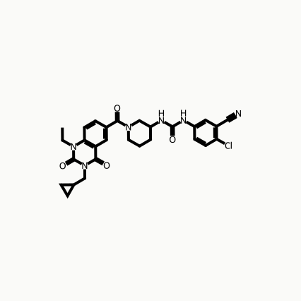 CCn1c(=O)n(CC2CC2)c(=O)c2cc(C(=O)N3CCCC(NC(=O)Nc4ccc(Cl)c(C#N)c4)C3)ccc21